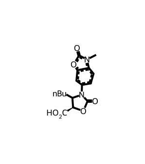 CCCCC1[C@H](C(=O)O)OC(=O)N1c1ccc2c(c1)oc(=O)n2C